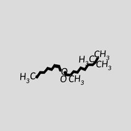 CCCCCC/C=C\COC(=O)C(C)CCCCCCC(C)(C)CC